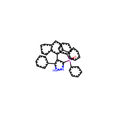 O=P(c1ccccc1)(c1ccccc1)c1n[nH]c(-c2ccccc2)c1-c1c(-c2ccccc2)ccc2ccccc12